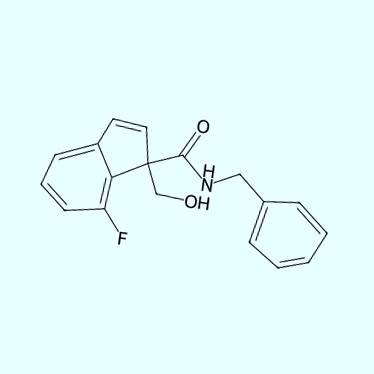 O=C(NCc1ccccc1)C1(CO)C=Cc2cccc(F)c21